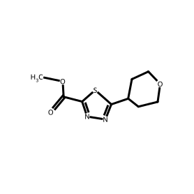 COC(=O)c1nnc(C2CCOCC2)s1